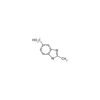 CC1=Nc2cc(C(=O)O)ccc2[N]1